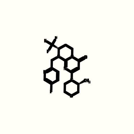 C[C@@H]1COCCN1c1cc(=O)n2c(n1)N(Cc1ccc(F)cn1)[C@H](C(F)(F)F)CC2